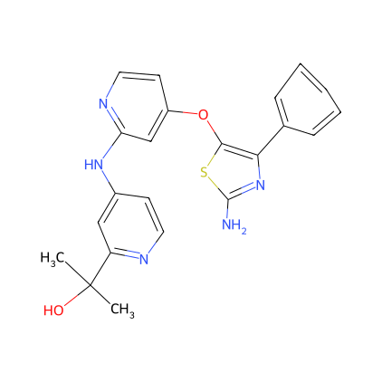 CC(C)(O)c1cc(Nc2cc(Oc3sc(N)nc3-c3ccccc3)ccn2)ccn1